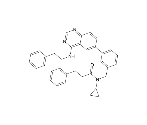 O=C(CCc1ccccc1)N(Cc1cccc(-c2ccc3ncnc(NCCc4ccccc4)c3c2)c1)C1CC1